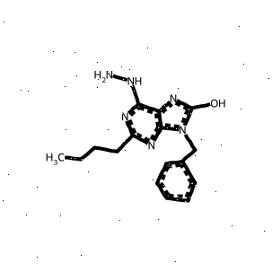 CCCCc1nc(NN)c2nc(O)n(Cc3ccccc3)c2n1